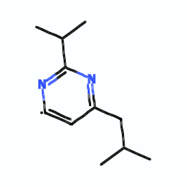 CC(C)Cc1c[c]nc(C(C)C)n1